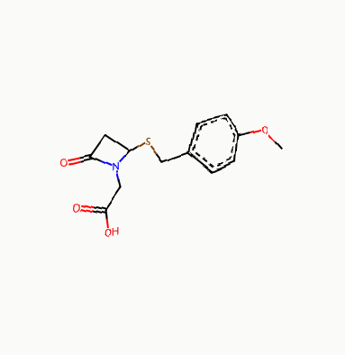 COc1ccc(CSC2CC(=O)N2CC(=O)O)cc1